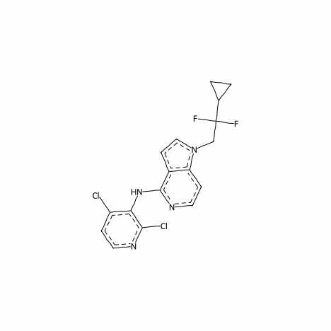 FC(F)(Cn1ccc2c(Nc3c(Cl)ccnc3Cl)nccc21)C1CC1